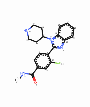 CNC(=O)c1ccc(-c2nc3ccccc3n2C2CCNCC2)c(F)c1